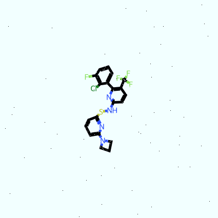 Fc1cccc(-c2nc(NSc3cccc(N4CCC4)n3)ccc2C(F)(F)F)c1Cl